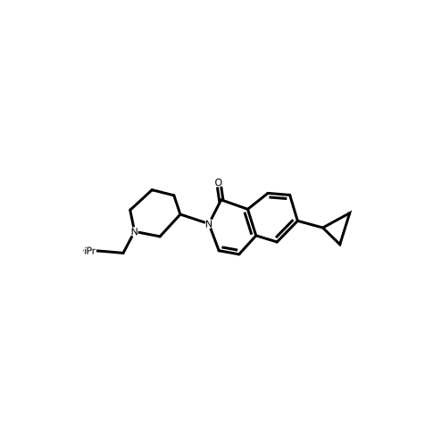 C[C](C)CN1CCCC(n2ccc3cc(C4CC4)ccc3c2=O)C1